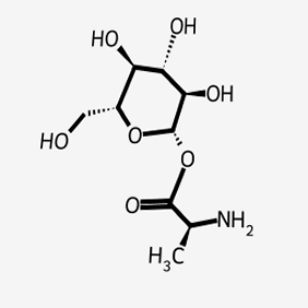 C[C@H](N)C(=O)O[C@@H]1O[C@H](CO)[C@@H](O)[C@H](O)[C@H]1O